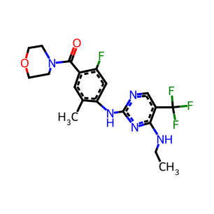 CCNc1nc(Nc2cc(F)c(C(=O)N3CCOCC3)cc2C)ncc1C(F)(F)F